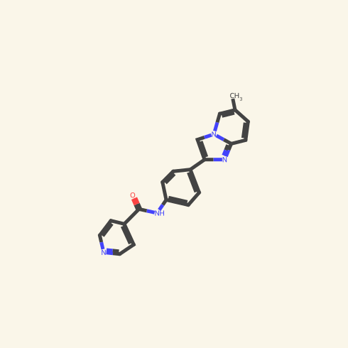 Cc1ccc2nc(-c3ccc(NC(=O)c4ccncc4)cc3)cn2c1